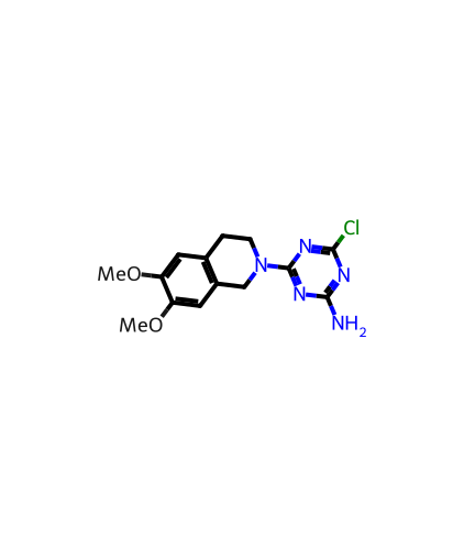 COc1cc2c(cc1OC)CN(c1nc(N)nc(Cl)n1)CC2